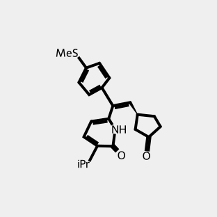 CSc1ccc(/C(=C/[C@H]2CCC(=O)C2)c2ccc(C(C)C)c(=O)[nH]2)cc1